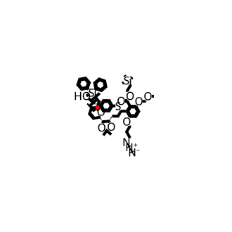 COCOc1ccc(OCCCN=[N+]=[N-])c(C(CC[C@@H]2OC(C)(C)O[C@@H]2C(/C=C\[C@@H](C)[C@H](C)CC(C)(C)[Si](O)(c2ccccc2)c2ccccc2)O[Si](C)(C)C(C)(C)C)Sc2ccccc2)c1C(=O)OCC[Si](C)(C)C